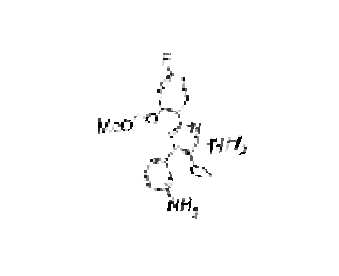 COCOc1cc(F)ccc1-c1cc(-c2cccc(N)c2)c(C#N)c(N)n1